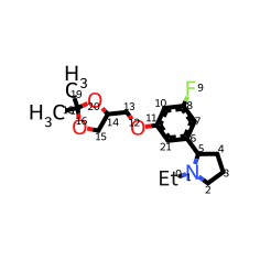 CCN1CCCC1c1cc(F)cc(OCC2COC(C)(C)O2)c1